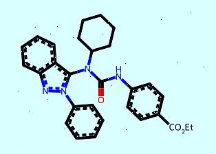 CCOC(=O)c1ccc(NC(=O)N(c2c3ccccc3nn2-c2ccccc2)C2CCCCC2)cc1